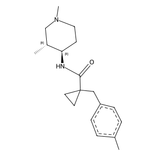 Cc1ccc(CC2(C(=O)N[C@@H]3CCN(C)C[C@H]3C)CC2)cc1